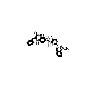 NC(=O)[C@H](Cc1ccccc1)N[C@H]1CC[C@H](CNc2nc(NCc3ccccc3OC(F)(F)F)ncc2[N+](=O)[O-])CC1